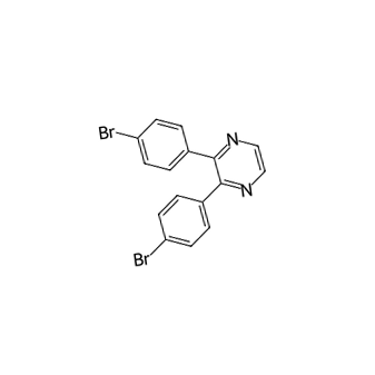 Brc1ccc(-c2nccnc2-c2ccc(Br)cc2)cc1